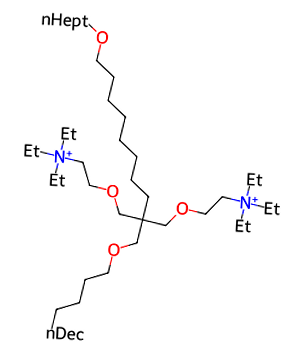 CCCCCCCCCCCCCCOCC(CCCCCCCCOCCCCCCC)(COCC[N+](CC)(CC)CC)COCC[N+](CC)(CC)CC